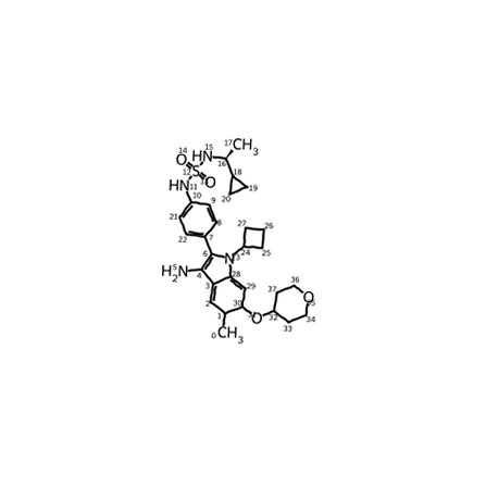 CC1C=c2c(N)c(-c3ccc(NS(=O)(=O)N[C@@H](C)C4CC4)cc3)n(C3CCC3)c2=CC1OC1CCOCC1